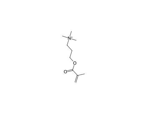 C=C(C)C(=O)OCCC[N+](C)(C)C